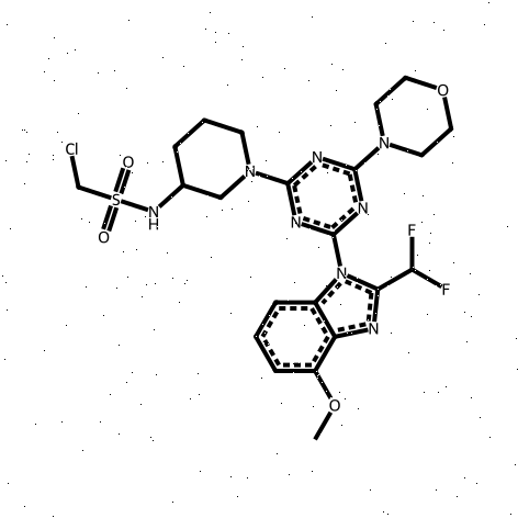 COc1cccc2c1nc(C(F)F)n2-c1nc(N2CCOCC2)nc(N2CCCC(NS(=O)(=O)CCl)C2)n1